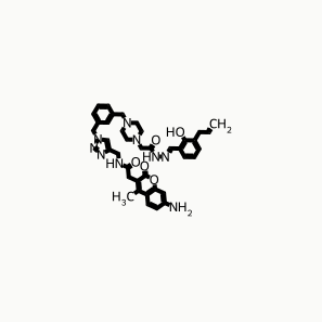 C=CCc1cccc(/C=N/NC(=O)CN2CCN(Cc3cccc(Cn4cc(CNC(=O)Cc5c(C)c6ccc(N)cc6oc5=O)nn4)c3)CC2)c1O